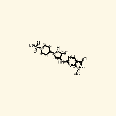 CCn1nc(Cl)c2cnc(NC3=CN(C4CCN(S(=O)(=O)CC)CC4)NC3Cl)nc21